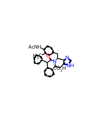 CC(=O)Nc1ccc(CC2c3nc[nH]c3C[C@@H](C(=O)O)N2C(=O)C(c2ccccc2)c2ccccc2)cc1C